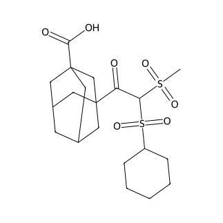 CS(=O)(=O)C(C(=O)C12CC3CC(CC(C(=O)O)(C3)C1)C2)S(=O)(=O)C1CCCCC1